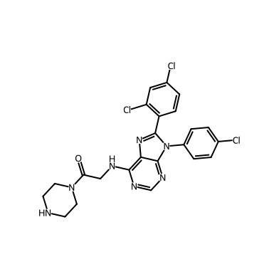 O=C(CNc1ncnc2c1nc(-c1ccc(Cl)cc1Cl)n2-c1ccc(Cl)cc1)N1CCNCC1